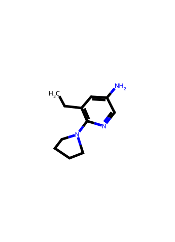 CCc1cc(N)cnc1N1CCCC1